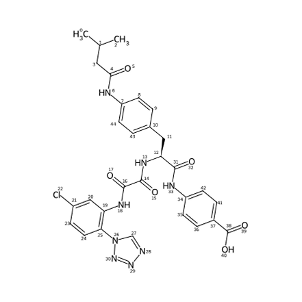 CC(C)CC(=O)Nc1ccc(C[C@H](NC(=O)C(=O)Nc2cc(Cl)ccc2-n2cnnn2)C(=O)Nc2ccc(C(=O)O)cc2)cc1